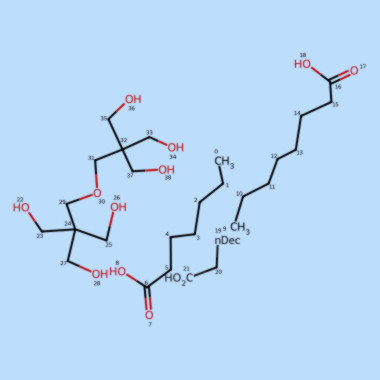 CCCCCCC(=O)O.CCCCCCCC(=O)O.CCCCCCCCCCCC(=O)O.OCC(CO)(CO)COCC(CO)(CO)CO